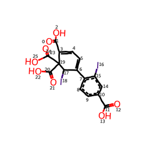 O=C(O)C1=CC=C(c2ccc(C(=O)O)cc2I)C(I)C1(C(=O)O)C(=O)O